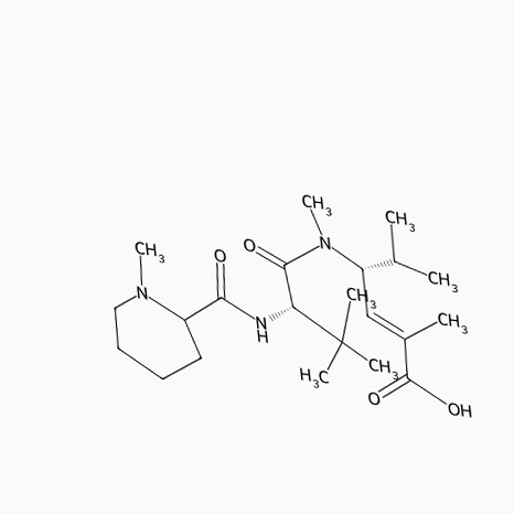 C/C(=C\[C@@H](C(C)C)N(C)C(=O)[C@@H](NC(=O)C1CCCCN1C)C(C)(C)C)C(=O)O